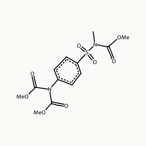 COC(=O)N(C(=O)OC)c1ccc(S(=O)(=O)N(C)C(=O)OC)cc1